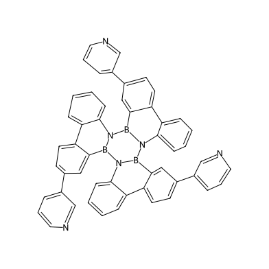 c1cncc(-c2ccc3c(c2)B2N(B4c5cc(-c6cccnc6)ccc5-c5ccccc5N4B4c5cc(-c6cccnc6)ccc5-c5ccccc5N24)c2ccccc2-3)c1